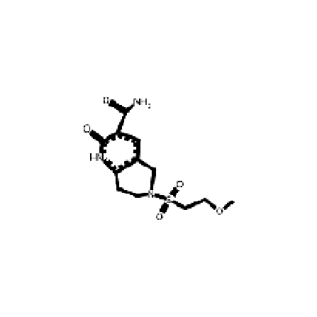 COCCS(=O)(=O)N1CCc2[nH]c(=O)c(C(N)=O)cc2C1